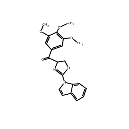 COc1cc(C(=O)C2COC(n3ccc4ccccc43)=N2)cc(OC)c1OC